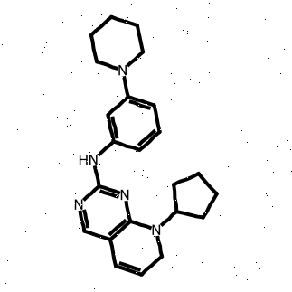 C1=Cc2cnc(Nc3cccc(N4CCCCC4)c3)nc2N(C2CCCC2)C1